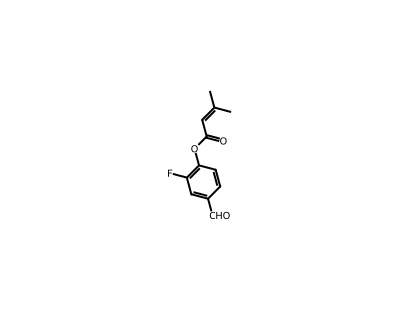 CC(C)=CC(=O)Oc1ccc(C=O)cc1F